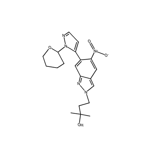 CC(C)(O)CCn1cc2cc([N+](=O)[O-])c(-c3ccnn3C3CCCCO3)cc2n1